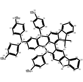 CC(C)(C)c1ccc(N2B3c4ccc(N(c5ccc(C(C)(C)C)cc5)c5ccc(C(C)(C)C)cc5)cc4N(c4ccc(C(C)(C)C)cc4)c4cc5c(c(c43)-c3cc4c(cc32)sc2ccccc24)C(C)(C)c2ccccc2-5)cc1